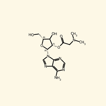 CN(C)CC(=O)O[C@H]1C(O)[C@@H](CO)O[C@H]1n1cnc2c(N)ncnc21